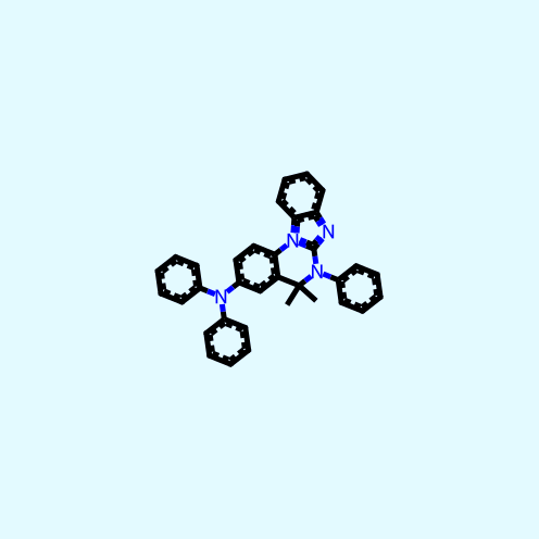 CC1(C)c2cc(N(c3ccccc3)c3ccccc3)ccc2-n2c(nc3ccccc32)N1c1ccccc1